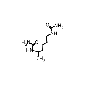 CC(CCCCNC(N)=O)NC(N)=O